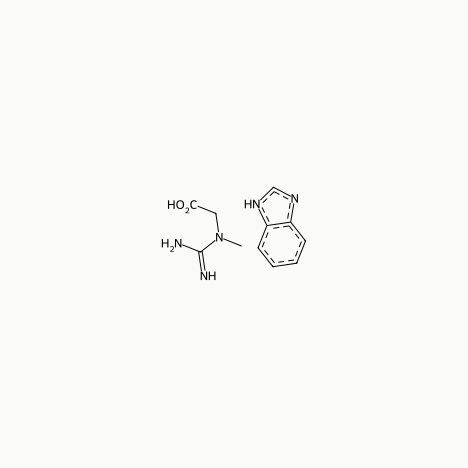 CN(CC(=O)O)C(=N)N.c1ccc2[nH]cnc2c1